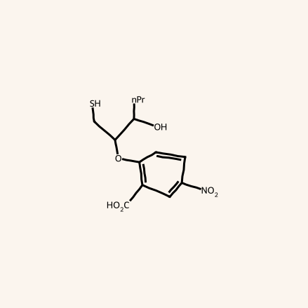 CCCC(O)C(CS)Oc1ccc([N+](=O)[O-])cc1C(=O)O